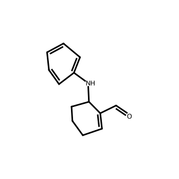 O=CC1=CCCCC1Nc1ccccc1